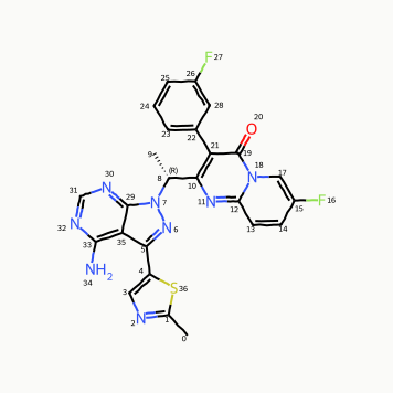 Cc1ncc(-c2nn([C@H](C)c3nc4ccc(F)cn4c(=O)c3-c3cccc(F)c3)c3ncnc(N)c23)s1